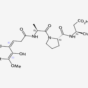 CC/C(OC)=C(O)\C(Cl)=C/CC(=O)N[C@@H](C)C(=O)N1CCC[C@H]1C(=O)N[C@H](C=O)CC(=O)O